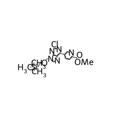 COC(=O)c1ccc(-c2nc(Cl)nc3c2ncn3COCC[Si](C)(C)C)cn1